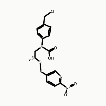 C[C@H](CN(C(=O)O)c1ccc(CCl)cc1)SSc1ccc([N+](=O)[O-])nc1